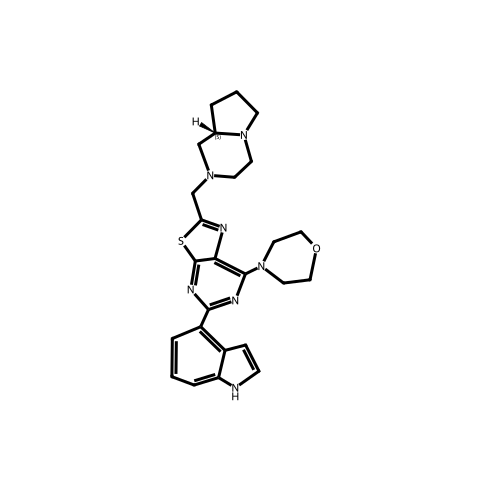 c1cc(-c2nc(N3CCOCC3)c3nc(CN4CCN5CCC[C@H]5C4)sc3n2)c2cc[nH]c2c1